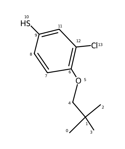 CC(C)(C)COc1ccc(S)cc1Cl